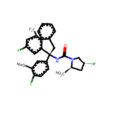 COc1cc([C@@](Cc2ccccc2)(NC(=O)N2C[C@H](F)C[C@H]2C(=O)O)c2cc(F)cc(C(F)(F)F)c2)ccc1F